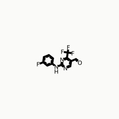 O=Cc1cnc(Nc2cccc(F)c2)nc1C(F)(F)F